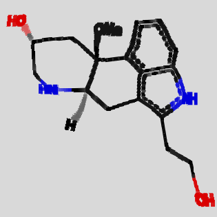 CO[C@]12C[C@@H](O)CN[C@@H]1Cc1c(CCO)[nH]c3cccc2c13